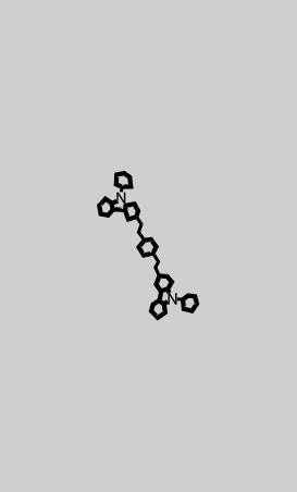 c1ccc(-n2c3ccccc3c3cc(CCc4ccc(CCc5ccc6c(c5)c5ccccc5n6-c5ccccc5)cc4)ccc32)cc1